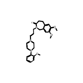 COc1cc2c(cc1OC)CN(CCCN1CCN(c3ccccc3OC)CC1)C(=O)CC2